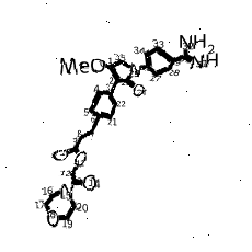 COC1=C(c2ccc(CCC(=O)OCC(=O)N3CCOCC3)cc2)C(=O)N(c2ccc(C(=N)N)cc2)C1